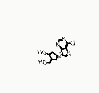 OCC1C[C@@H](n2cnc3c(Cl)ncnc32)CC1O